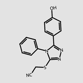 N#CCSc1nnc(-c2ccc(O)cc2)n1-c1ccccc1